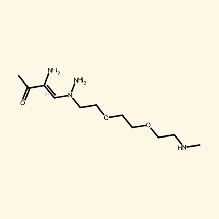 CNCCOCCOCCN(N)/C=C(\N)C(C)=O